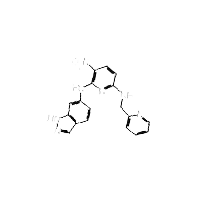 O=[N+]([O-])c1ccc(NCc2ccccn2)nc1Nc1ccc2cn[nH]c2c1